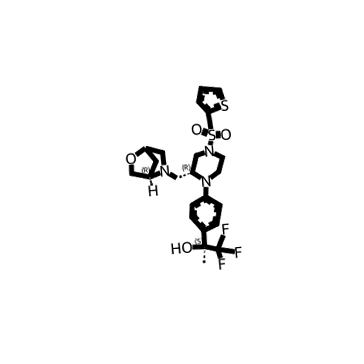 C[C@](O)(c1ccc(N2CCN(S(=O)(=O)c3cccs3)C[C@H]2CN2CC3C[C@@H]2CO3)cc1)C(F)(F)F